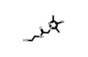 Cc1nn(CC(=O)NCCO)c(C)c1Br